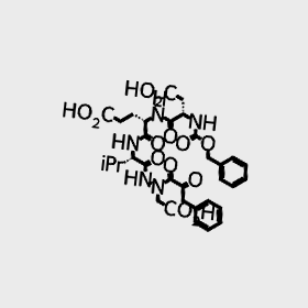 CC(C)[C@H](NC(=O)[C@H](CCC(=O)O)NC(=O)[C@H](CC(=O)O)NC(=O)OCc1ccccc1)C(=O)NN(CC(=O)O)C(=O)C(=O)Cc1ccccc1